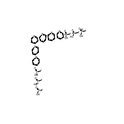 O=[PH](O)F.O=[PH](O)F.O=[PH](O)F.O=[PH](O)F.O=[PH](O)F.O=[PH](O)F.c1ccncc1.c1ccncc1.c1ccncc1.c1ccncc1.c1ccncc1.c1ccncc1